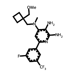 COCC1(CN(C)c2cc(-c3cc(F)cc(C(F)(F)F)c3)nc(N)c2N)CCC1